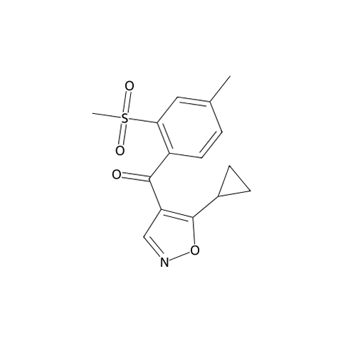 Cc1ccc(C(=O)c2cnoc2C2CC2)c(S(C)(=O)=O)c1